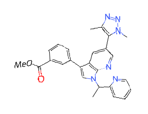 COC(=O)c1cccc(-c2cn(C(C)c3ccccn3)c3ncc(-c4c(C)nnn4C)cc23)c1